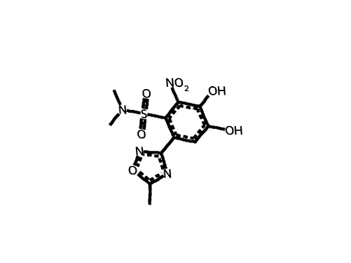 Cc1nc(-c2cc(O)c(O)c([N+](=O)[O-])c2S(=O)(=O)N(C)C)no1